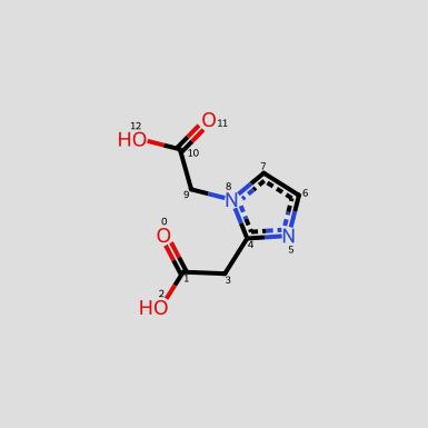 O=C(O)Cc1nccn1CC(=O)O